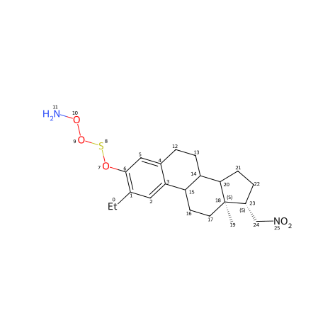 CCc1cc2c(cc1OSOON)CCC1C2CC[C@@]2(C)C1CC[C@@H]2C[N+](=O)[O-]